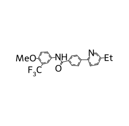 CCc1ccc(-c2ccc(C(=O)Nc3ccc(OC)c(C(F)(F)F)c3)cc2)nc1